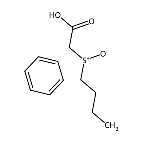 CCCC[S+]([O-])CC(=O)O.c1ccccc1